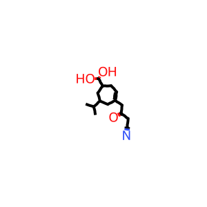 CC(C)C1CC(CC(=O)CC#N)=CCC(C(O)O)C1